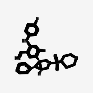 Cc1cc(Nc2ccc(F)cc2)c(C=N)cc1[C@]12CN(S(=O)(=O)C3CCOCC3)C[C@H]1[C@@H]2c1ccccc1